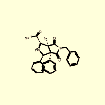 COC(=O)[C@@H]1N[C@H](c2ccccc2)[C@]2(c3ccccc3)C(=O)N(Cc3ccccc3)C(=O)[C@H]12